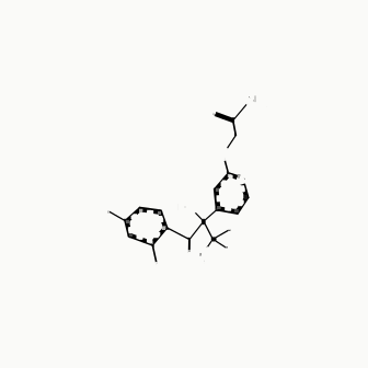 CC(c1ccc(Cl)cc1Cl)C(O)(c1ccnc(OCC(N)=O)c1)C(F)(F)F